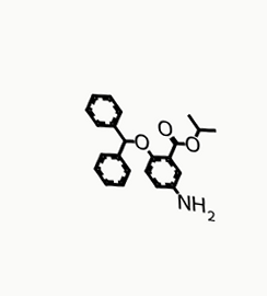 CC(C)OC(=O)c1cc(N)ccc1OC(c1ccccc1)c1ccccc1